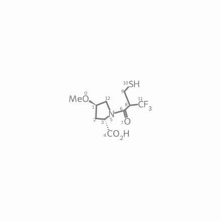 CO[C@@H]1C[C@@H](C(=O)O)N(C(=O)C(CS)C(F)(F)F)C1